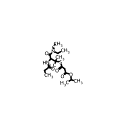 CCC(=O)NC(C(=O)N(CC)CC)C(C)(C)SC(=O)CC(=O)OC(C)C